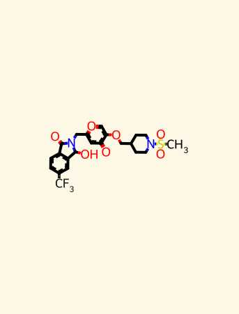 CS(=O)(=O)N1CCC(COc2coc(CN3C(=O)c4ccc(C(F)(F)F)cc4C3O)cc2=O)CC1